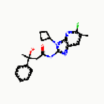 Cc1cc2nc(NC(=O)CC(C)(O)c3ccccc3)n(C3CCC3)c2nc1Cl